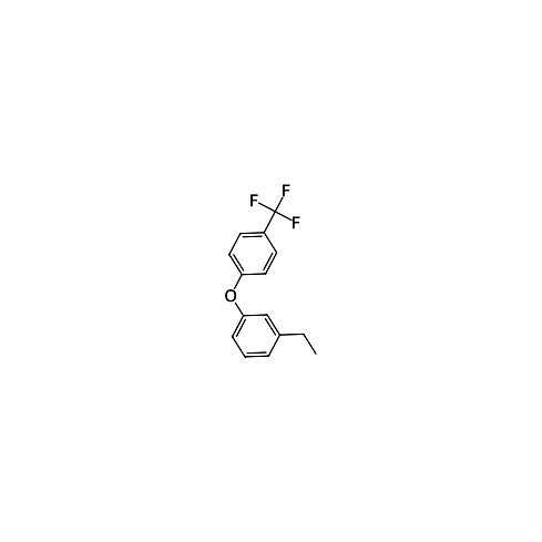 CCc1cccc(Oc2ccc(C(F)(F)F)cc2)c1